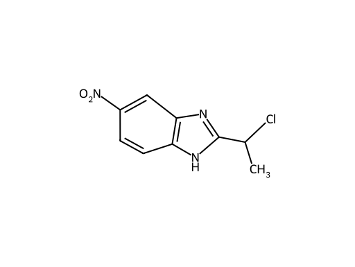 CC(Cl)c1nc2cc([N+](=O)[O-])ccc2[nH]1